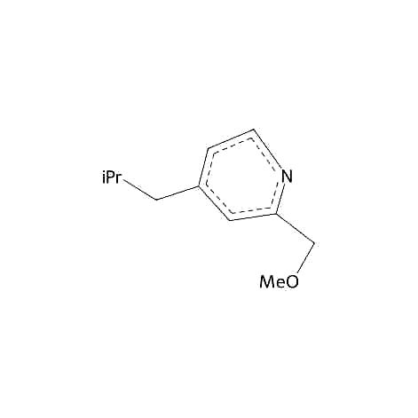 COCc1cc(CC(C)C)ccn1